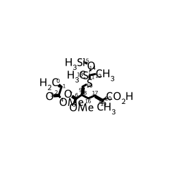 C=CC(=O)OC.COC(=O)C(=CS[Si](C)(C)O[SiH3])CC=C(C)C(=O)O